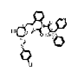 COC(=O)N(C(=O)[C@@H](N)[C@@H](c1ccccc1)c1ccncc1)c1ccccc1CC[C@@H]1CNC[C@@H](CSc2ccc(Cl)cc2)O1